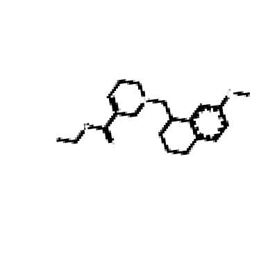 CCOC(=O)C1=CCCN(CC2CCCc3ccc(OC)cc32)C1